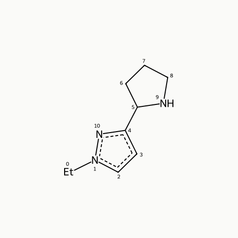 CCn1ccc(C2CCCN2)n1